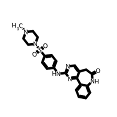 CN1CCN(S(=O)(=O)c2ccc(Nc3ncc4c(n3)-c3ccccc3NC(=O)C4)cc2)CC1